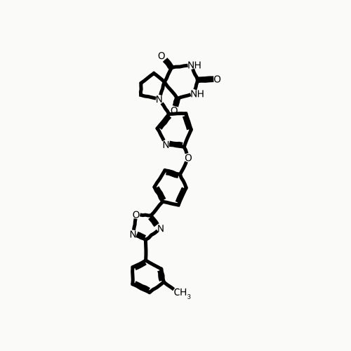 Cc1cccc(-c2noc(-c3ccc(Oc4ccc(N5CCCC56C(=O)NC(=O)NC6=O)cn4)cc3)n2)c1